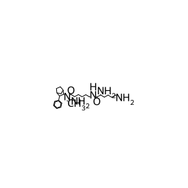 CCN(C(=O)C(N)CCCCNC(=O)[C@@H](N)CCCCN)C1C2CCC(C2)C1c1ccccc1